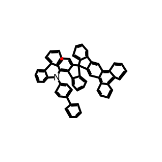 c1ccc(-c2ccc(N(c3ccccc3-c3ccccc3)c3cccc4c3-c3ccccc3C43c4ccccc4-c4cc5c6ccccc6c6ccccc6c5cc43)cc2)cc1